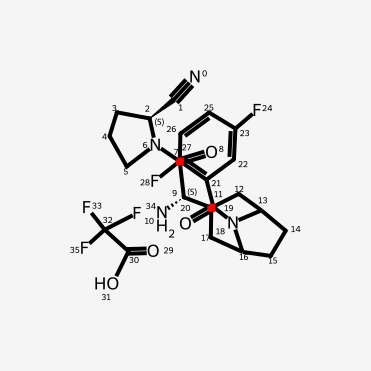 N#C[C@@H]1CCCN1C(=O)[C@@H](N)C1CC2CCC(C1)N2C(=O)c1cc(F)ccc1F.O=C(O)C(F)(F)F